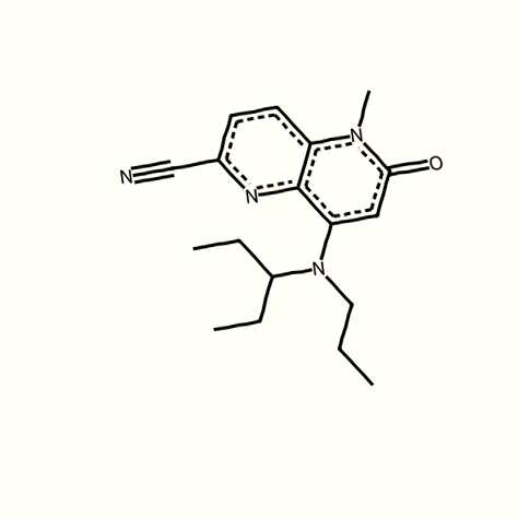 CCCN(c1cc(=O)n(C)c2ccc(C#N)nc12)C(CC)CC